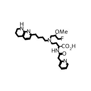 CO[C@H](CF)CN(CCCCc1ccc2c(n1)NCCC2)CC[C@H](NC(=O)Cc1ccccn1)C(=O)O